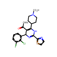 COC(=O)C1=C(C2CCN(C(=O)O)CC2)NC(c2nccs2)=NC1c1cccc(F)c1Cl